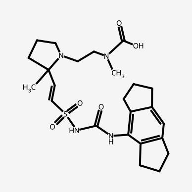 CN(CCN1CCCC1(C)C=CS(=O)(=O)NC(=O)Nc1c2c(cc3c1CCC3)CCC2)C(=O)O